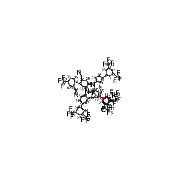 Cc1cc(C2=CC3c4cc(-c5cc(C(F)(F)F)cc(C(F)(F)F)c5)ccc4N(c4cc(C#N)c(-c5ccc(C(F)(F)F)cc5C#N)cc4-n4c5ccc(-c6cc(C(F)(F)F)cc(C(F)(F)F)c6)cc5c5cc(-c6cc(C(F)(F)F)cc(C(F)(F)F)c6)ccc54)C3C=C2)cc(C(F)(F)F)c1